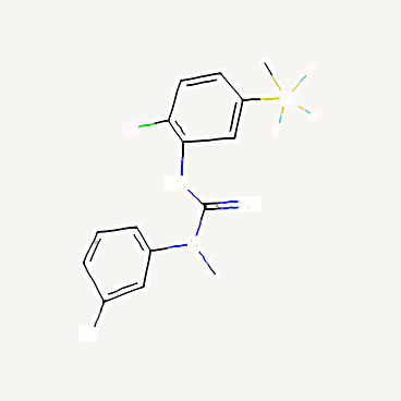 CCc1cccc(N(C)C(=N)Nc2cc([SH](C)(F)(F)F)ccc2Cl)c1